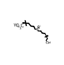 CC(C)(CCO)CCCC[S+]([O-])CCCCC(C)(C)CC(=O)O